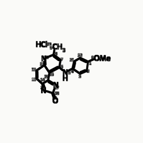 COc1ccc(Nc2cc(C)nc3ccc4c(c23)=NC(=O)N=4)cc1.Cl